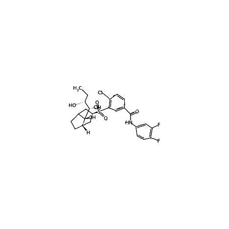 CC[C@@H](O)[C@H](O)[C@@]1(O)C2CC[C@H]1C[C@H](S(=O)(=O)c1cc(C(=O)Nc3ccc(F)c(F)c3)ccc1Cl)C2